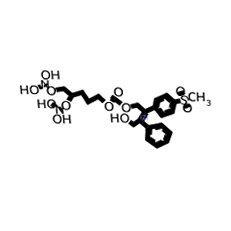 CS(=O)(=O)c1ccc(/C(COC(=O)OCCCC(CON(O)O)ON(O)O)=C(/CO)c2ccccc2)cc1